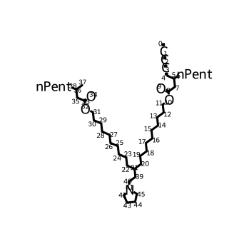 C=C=C=C=CC(CCCCC)CC(=O)OCCCCCCCCCCC(CCCCCCCCCCOC(=O)CC(C)CCCCC)CCN1CCCC1